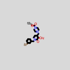 CC(C)(C)OC(=O)N1CCN(Cc2ccn(Cc3cccc(Br)c3)c(=O)c2O)CC1